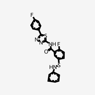 O=C(Nc1nnc(-c2ccc(F)cc2)s1)c1cc(SNc2ccccc2)ccc1F